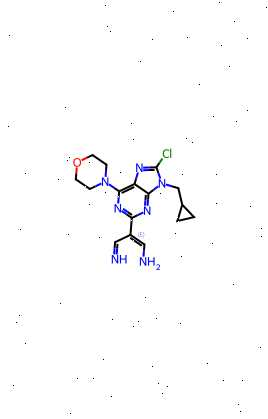 N=C/C(=C\N)c1nc(N2CCOCC2)c2nc(Cl)n(CC3CC3)c2n1